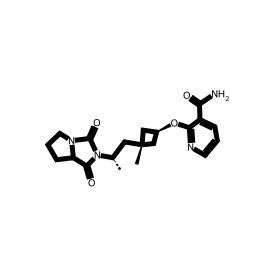 C[C@@H](C[C@]1(C)C[C@@H](Oc2ncccc2C(N)=O)C1)N1C(=O)C2CCCN2C1=O